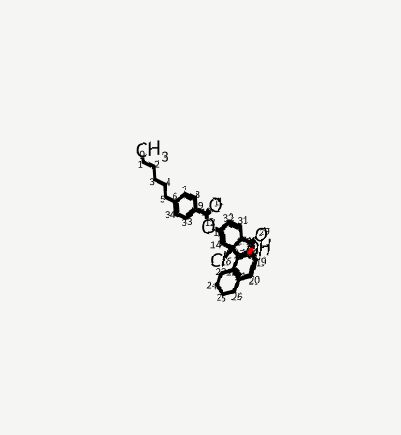 CCCCCCc1ccc(C(=O)OC2=CC(Cl)(c3cccc4c3CCCC4)C(C(=O)O)C=C2)cc1